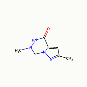 Cc1cc2n(n1)CN(C)NC2=O